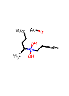 CC(=O)[O-].CCCCCCCCCCCCC(C)[N+](O)(O)CCCCCCCCCCCC